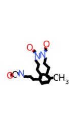 Cc1ccc(CCCN=C=O)c(CCCN=C=O)c1CCCN=C=O